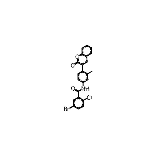 Cc1cc(NC(=O)c2cc(Br)ccc2Cl)ccc1-c1cc2ccccc2oc1=O